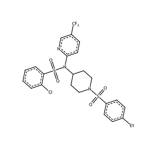 CCc1ccc(S(=O)(=O)N2CCC(N(c3ccc(C(F)(F)F)cn3)S(=O)(=O)c3ccccc3Cl)CC2)cc1